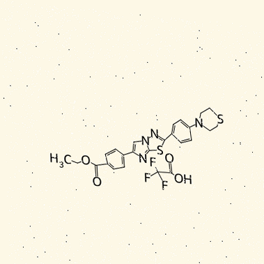 CCOC(=O)c1ccc(-c2cn3nc(-c4ccc(N5CCSCC5)cc4)sc3n2)cc1.O=C(O)C(F)(F)F